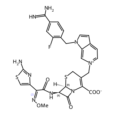 CO/N=C(\C(=O)N[C@@H]1C(=O)N2C(C(=O)[O-])=C(C[n+]3ccc4ccn(Cc5ccc(C(=N)N)cc5F)c4c3)CS[C@H]12)c1csc(N)n1